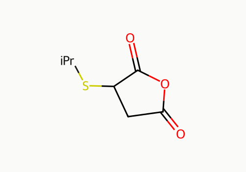 CC(C)SC1CC(=O)OC1=O